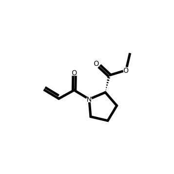 C=CC(=O)N1CCC[C@H]1C(=O)OC